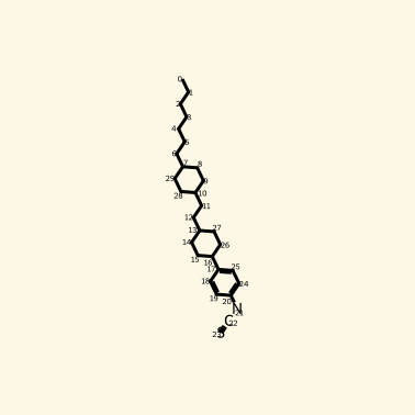 CCCCCCCC1CCC(CCC2CCC(c3ccc(N=C=S)cc3)CC2)CC1